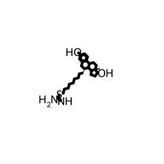 C[C@]12CCC3c4ccc(O)cc4C[C@@H](CCCCCCCCCSC(=N)N)C3C1CC[C@@H]2O